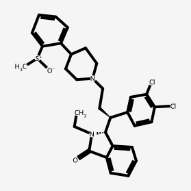 CCN1C(=O)c2ccccc2[C@H]1[C@@H](CCN1CCC(c2ccccc2[S+](C)[O-])CC1)c1ccc(Cl)c(Cl)c1